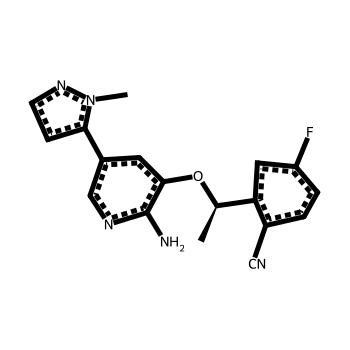 C[C@@H](Oc1cc(-c2ccnn2C)cnc1N)c1cc(F)ccc1C#N